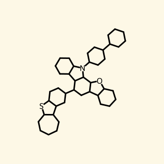 C1CCC(C2CCC(N3C4CCCCC4C4C(C5CCC6SC7CCCCCC7C6C5)CC5C6CCCCC6OC5C43)CC2)CC1